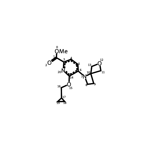 COC(=O)c1ccc(N2CCC23COC3)c(OCC2CC2)n1